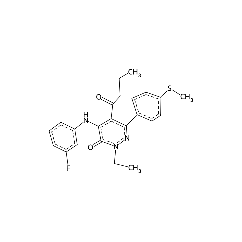 CCCC(=O)c1c(-c2ccc(SC)cc2)nn(CC)c(=O)c1Nc1cccc(F)c1